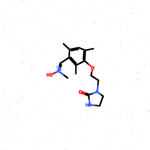 Cc1cc(C)c(OCCN2CCNC2=O)c(C)c1/C=[N+](\C)O